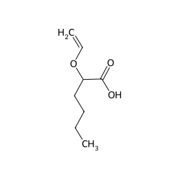 C=COC(CCCC)C(=O)O